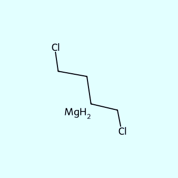 ClCCCCCl.[MgH2]